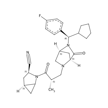 C[C@@H](CN1C[C@@H]2C[C@H]1C(=O)N2[C@@H](c1ccc(F)cc1)C1CCCC1)C(=O)N1C2C[C@H]2C[C@H]1C#N